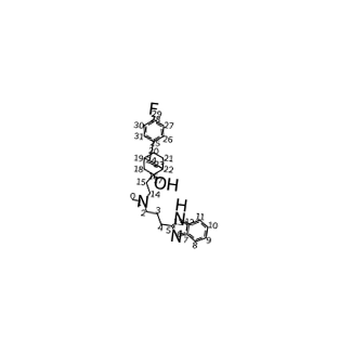 CN(CCCc1nc2ccccc2[nH]1)CCC1(O)CC2CCC1C=C2c1ccc(F)cc1